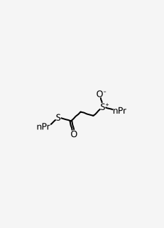 CCCSC(=O)CC[S+]([O-])CCC